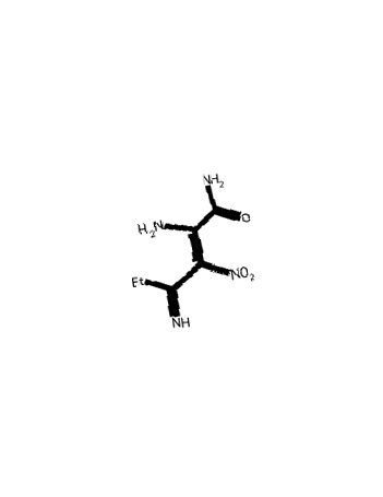 CCC(=N)/C(=C(\N)C(N)=O)[N+](=O)[O-]